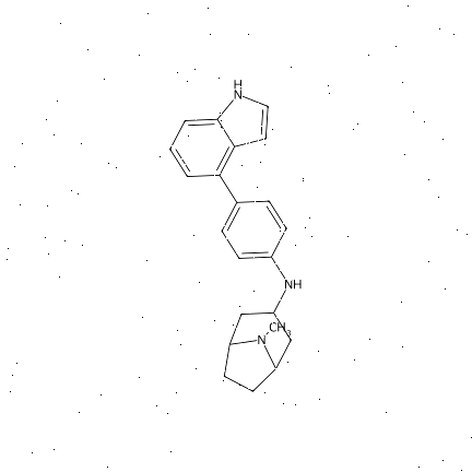 CN1C2CCC1CC(Nc1ccc(-c3cccc4[nH]ccc34)cc1)C2